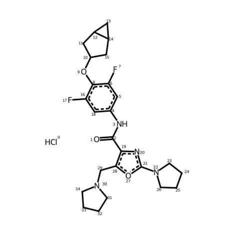 Cl.O=C(Nc1cc(F)c(OC2CC3CC3C2)c(F)c1)c1nc(N2CCCC2)oc1CN1CCCC1